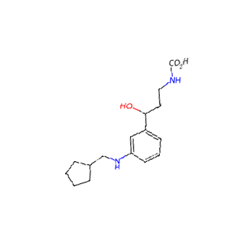 O=C(O)NCCC(O)c1cccc(NCC2CCCC2)c1